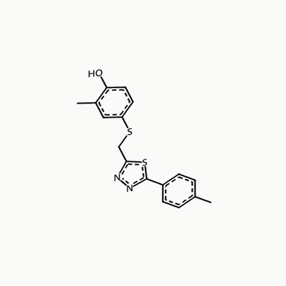 Cc1ccc(-c2nnc(CSc3ccc(O)c(C)c3)s2)cc1